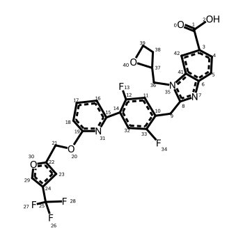 O=C(O)c1ccc2nc(Cc3cc(F)c(-c4cccc(OCc5cc(C(F)(F)F)co5)n4)cc3F)n(CC3CCO3)c2c1